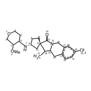 COC1COCCC1N[C@@H]1CC[C@@]2(C1)C(=O)N1Cc3cc(C(F)(F)F)ccc3CC1C2C